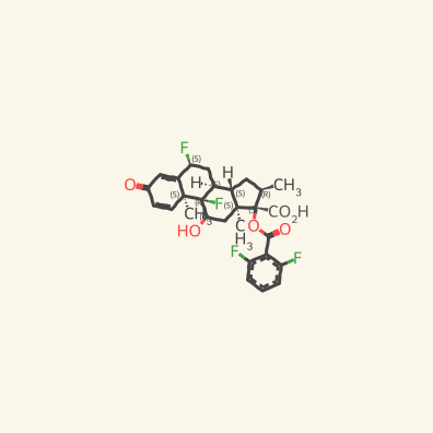 C[C@@H]1C[C@H]2[C@@H]3C[C@H](F)C4=CC(=O)C=C[C@]4(C)[C@@]3(F)[C@H](O)C[C@]2(C)[C@]1(OC(=O)c1c(F)cccc1F)C(=O)O